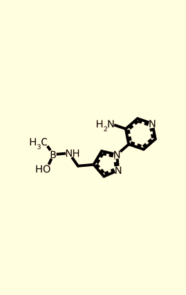 CB(O)NCc1cnn(-c2ccncc2N)c1